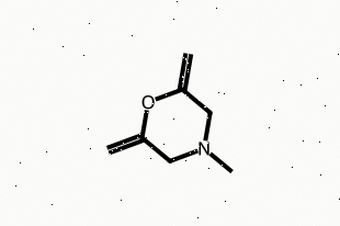 C=C1CN(C)CC(=C)O1